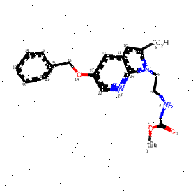 CC(C)(C)OC(=O)NCCn1c(C(=O)O)cc2cc(OCc3ccccc3)cnc21